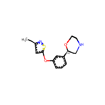 Cc1cc(Oc2cccc([C@@H]3CNCCO3)c2)sn1